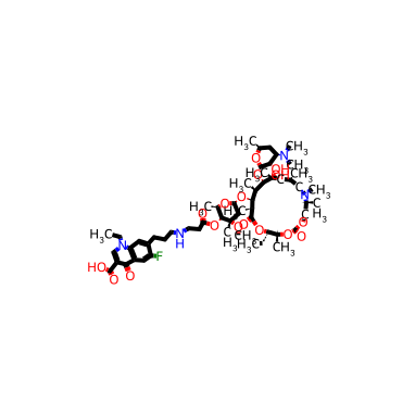 CC[C@@H]1OC(=O)[C@H](C)[C@H](O[C@@H]2C[C@](C)(OC)[C@H](OC(=O)CCNCCCc3cc4c(cc3F)c(=O)c(C(=O)O)cn4CC)[C@H](C)O2)[C@@H](C)[C@H](O[C@@H]2O[C@H](C)C[C@H](N(C)C)[C@@H]2O)[C@](C)(O)C[C@H](C)CN(C)[C@@H](C)COC(=O)O[C@H]1C